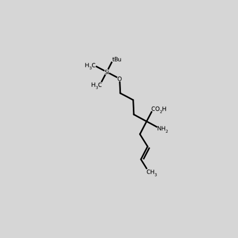 CC=CCC(N)(CCCO[Si](C)(C)C(C)(C)C)C(=O)O